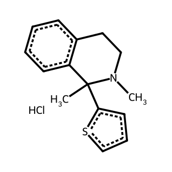 CN1CCc2ccccc2C1(C)c1cccs1.Cl